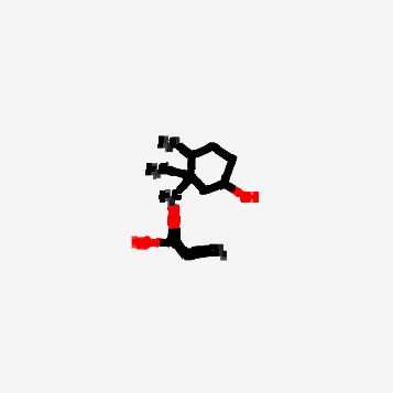 C=CC(=O)O.CC1CCC(O)CC1(C)C